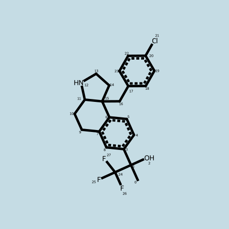 CC(O)(c1ccc2c(c1)CCC1NCCC21Cc1ccc(Cl)cc1)C(F)(F)F